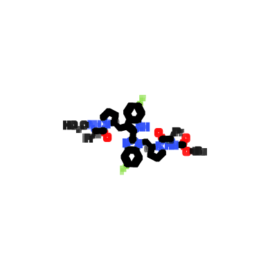 CC(C)[C@H](NC(=O)O)C(=O)N1CCC[C@H]1Cc1c(-c2nc3cc(F)ccc3n2C[C@@H]2CCCN2C(=O)[C@@H](NC(=O)OC(C)(C)C)C(C)C)[nH]c2cc(F)ccc12